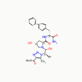 COC(=O)c1nnn([C@H](C(C)C)C(O)N2C[C@H](O)C[C@H]2C(=O)N[C@H](Cc2ccc(-c3ccccc3)cc2)C(N)=O)c1C